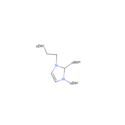 CCCCCCCCCCCCN1C=CN(CCCCCCCCCC)C1CCCCCCCCC